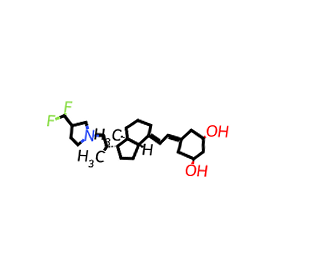 CC(CN1CCC(C(F)F)C1)[C@H]1CC[C@H]2C(=C/C=C3/C[C@@H](O)C[C@@H](O)C3)CCC[C@]12C